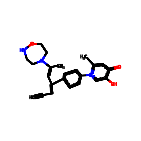 C#C/C=C(\C=C(/C)N1CCNOCC1)c1ccc(-n2cc(O)c(=O)cc2C)cc1